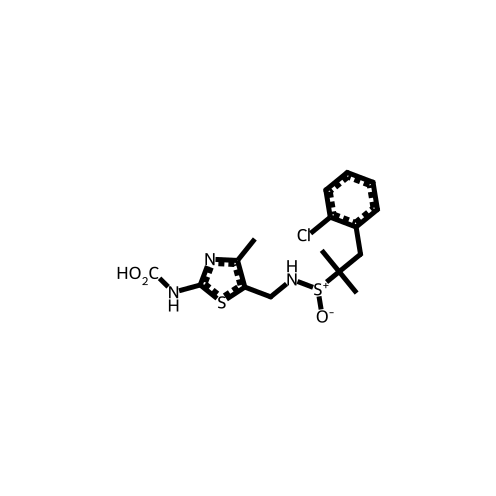 Cc1nc(NC(=O)O)sc1CN[S+]([O-])C(C)(C)Cc1ccccc1Cl